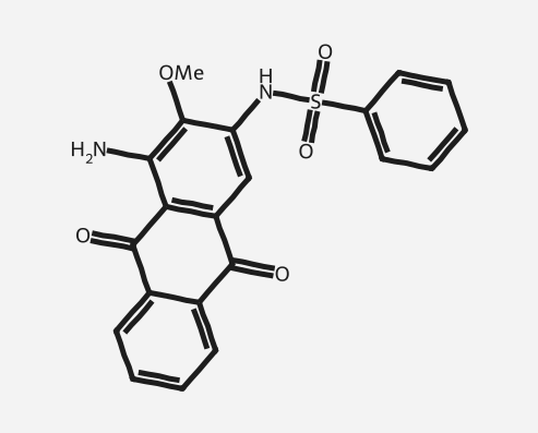 COc1c(NS(=O)(=O)c2ccccc2)cc2c(c1N)C(=O)c1ccccc1C2=O